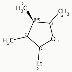 CCC1OC(C)[C@H](C)C1C